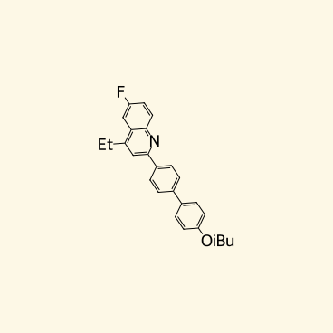 CCc1cc(-c2ccc(-c3ccc(OCC(C)C)cc3)cc2)nc2ccc(F)cc12